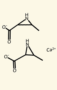 CC1NC1C(=O)[O-].CC1NC1C(=O)[O-].[Ca+2]